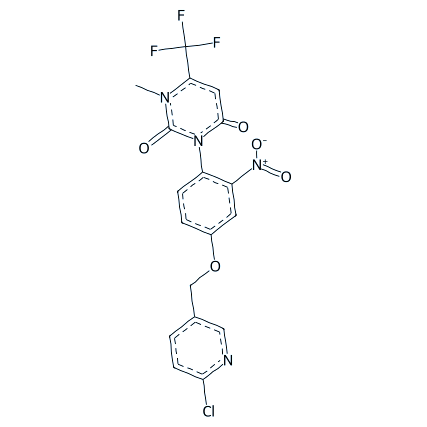 Cn1c(C(F)(F)F)cc(=O)n(-c2ccc(OCc3ccc(Cl)nc3)cc2[N+](=O)[O-])c1=O